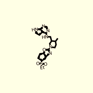 CCS(=O)(=O)c1ccc2oc(N3CCC(C)C(CNc4ncnc5[nH]ccc45)C3)nc2c1